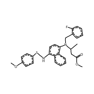 COC(=O)CC(C)N(Cc1ccccc1F)c1ccc(NSc2ccc(OC)cc2)c2ccccc12